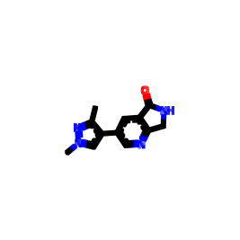 Cc1nn(C)cc1-c1cnc2c(c1)C(=O)NC2